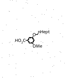 CCCCCCCCOc1cc(OC)cc(C(=O)O)c1